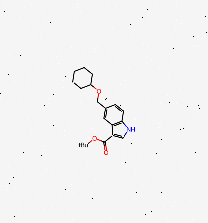 CC(C)(C)OC(=O)c1c[nH]c2ccc(COC3CCCCC3)cc12